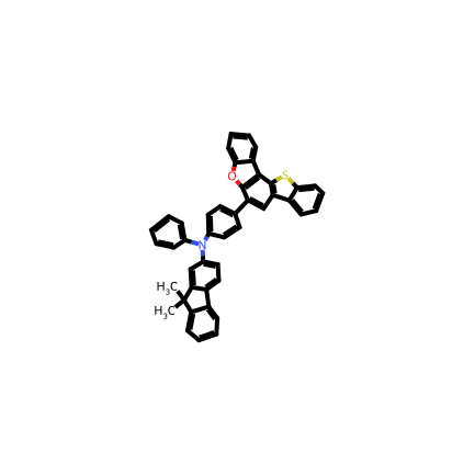 CC1(C)c2ccccc2-c2ccc(N(c3ccccc3)c3ccc(-c4cc5c6ccccc6sc5c5c4oc4ccccc45)cc3)cc21